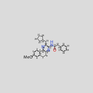 COc1ccc2c(c1)CCc1nc(NC(=O)Cc3ccccc3)c(CC3CCCC3)nc1-2